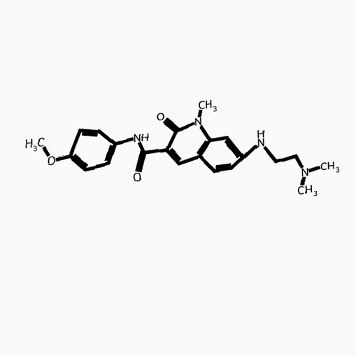 COc1ccc(NC(=O)c2cc3ccc(NCCN(C)C)cc3n(C)c2=O)cc1